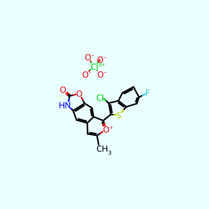 Cc1cc2cc3[nH]c(=O)oc3cc2c(-c2sc3cc(F)ccc3c2Cl)[o+]1.[O-][Cl+3]([O-])([O-])[O-]